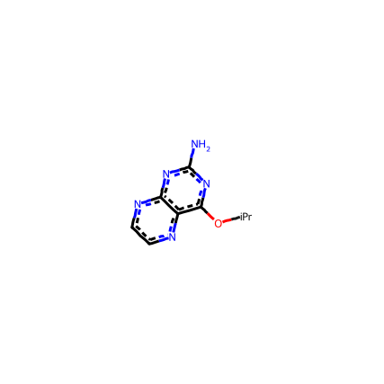 CC(C)Oc1nc(N)nc2nccnc12